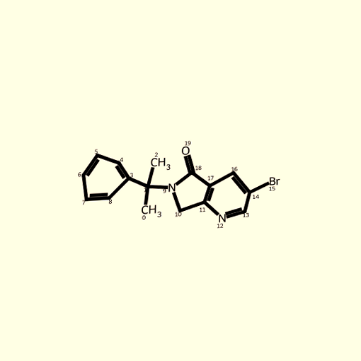 CC(C)(c1ccccc1)N1Cc2ncc(Br)cc2C1=O